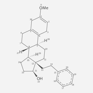 COC1=CCC2=C(CC[C@@H]3[C@@H]2CC[C@]2(CCc4ccccc4)[C@@H](O)CC[C@@H]32)C1